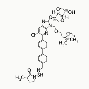 CC1CCN([SH]=NCc2ccc(-c3ccc(-c4nc5c(cc4Cl)nc(O[C@@H]4CO[C@H]6[C@@H]4OC[C@H]6O)n5COCC[Si](C)(C)C)cc3)cc2)C1=O